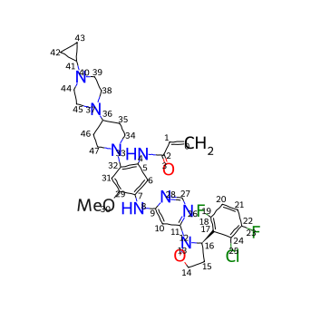 C=CC(=O)Nc1cc(Nc2cc(N3OCC[C@@H]3c3c(F)ccc(F)c3Cl)ncn2)c(OC)cc1N1CCC(N2CCN(C3CC3)CC2)CC1